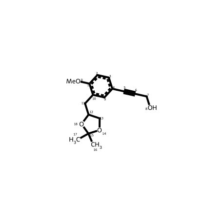 COc1ccc(C#CCO)cc1CC1COC(C)(C)O1